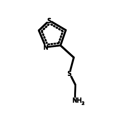 NCSCc1cscn1